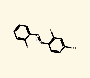 Oc1ccc(/N=N/c2ccccc2F)c(F)c1